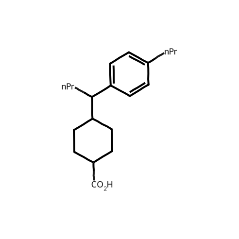 CCCc1ccc(C(CCC)C2CCC(C(=O)O)CC2)cc1